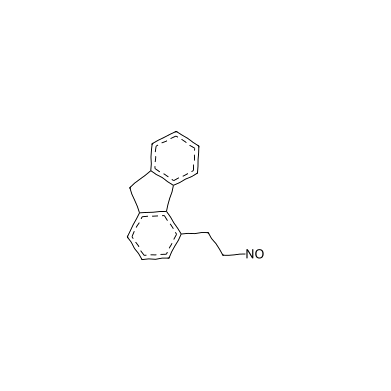 O=NCCc1cccc2c1-c1ccccc1C2